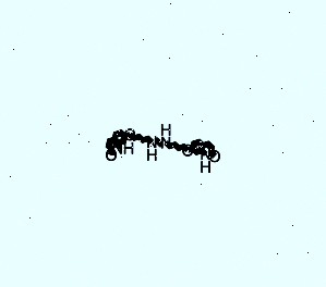 O=c1ccc2ccc(OCCCCNCCNCCCCOc3ccc4ccc(=O)[nH]c4c3)cc2[nH]1